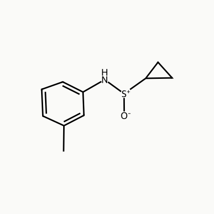 Cc1cccc(N[S+]([O-])C2CC2)c1